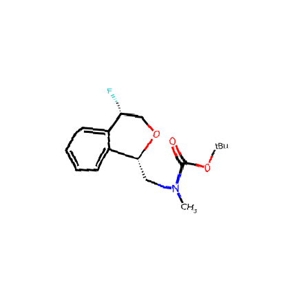 CN(C[C@H]1OC[C@@H](F)c2ccccc21)C(=O)OC(C)(C)C